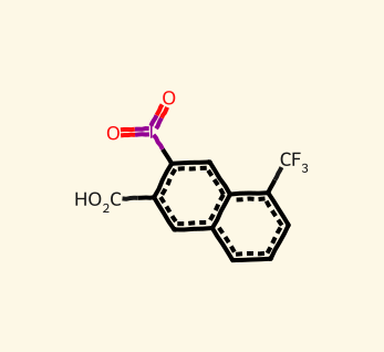 O=C(O)c1cc2cccc(C(F)(F)F)c2cc1I(=O)=O